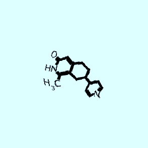 Cc1[nH]c(=O)cc2c1CC(c1ccncc1)CC2